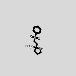 O=C(O)C1(CCS(=O)(=O)c2ccccc2)CCCN1